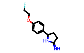 N=C1CCC(c2ccc(OCCF)cc2)N1